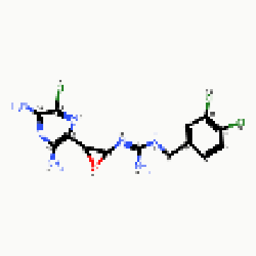 N/C(=N\C1OC1c1nc(Cl)c(N)nc1N)NCc1ccc(Cl)c(Cl)c1